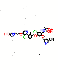 Cc1c(COc2cc(OCc3cncc(C#N)c3)c(CNC(C)(CO)CO)cc2Cl)cccc1-c1nccc(OCCCN2CC[C@@H](O)C2)c1Cl